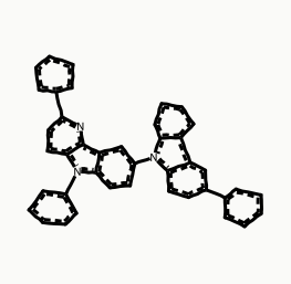 c1ccc(-c2ccc3c(c2)c2ccccc2n3-c2ccc3c(c2)c2nc(-c4ccccc4)ccc2n3-c2ccccc2)cc1